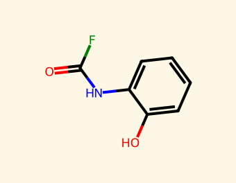 O=C(F)Nc1ccccc1O